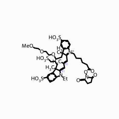 CCN1/C(=C/C(C)=C/C2=[N+](CCCCCC(=O)ON3C(=O)CCC3=O)c3ccc(S(=O)(=O)O)cc3C2(C)CCOCCOCCOC)C(C)(CCCS(=O)(=O)O)c2cc(S(=O)(=O)O)ccc21